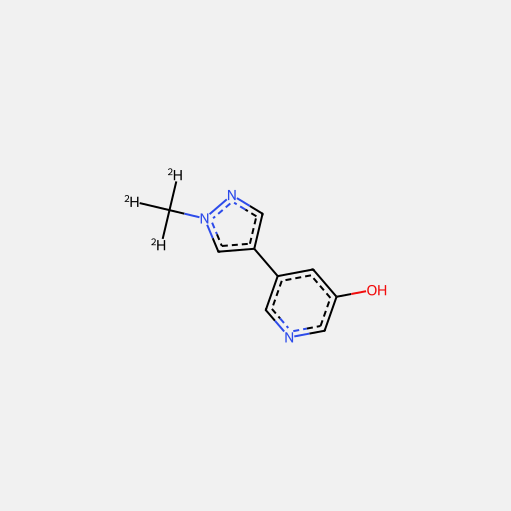 [2H]C([2H])([2H])n1cc(-c2cncc(O)c2)cn1